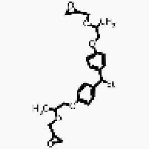 CCC(c1ccc(OCC(C)OCC2CO2)cc1)c1ccc(OCC(C)OCC2CO2)cc1